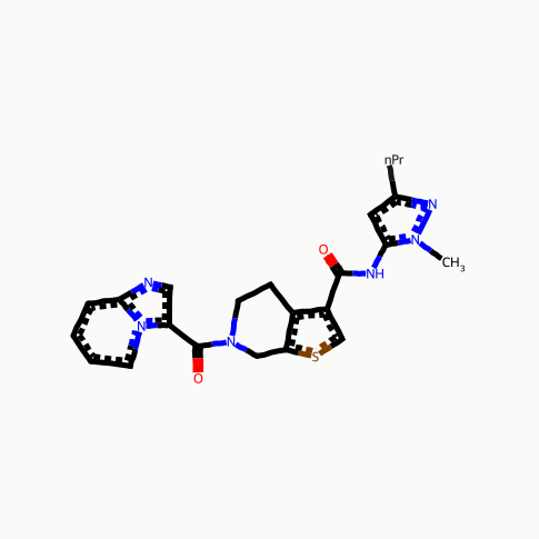 CCCc1cc(NC(=O)c2csc3c2CCN(C(=O)c2cnc4ccccn24)C3)n(C)n1